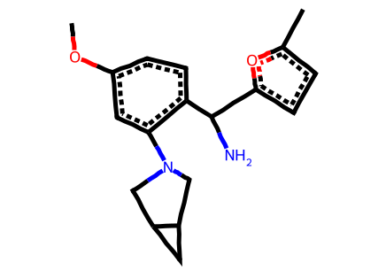 COc1ccc(C(N)c2ccc(C)o2)c(N2CC3CC3C2)c1